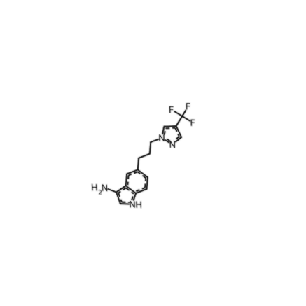 Nc1c[nH]c2ccc(CCCn3cc(C(F)(F)F)cn3)cc12